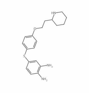 Nc1ccc(Sc2ccc(OCCC3CCCCN3)cc2)cc1N